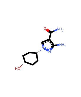 NC(=O)c1cn([C@H]2CC[C@@H](O)CC2)nc1N